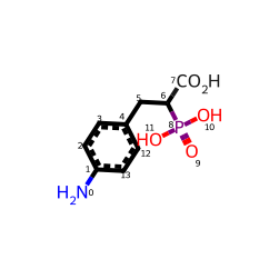 Nc1ccc(CC(C(=O)O)P(=O)(O)O)cc1